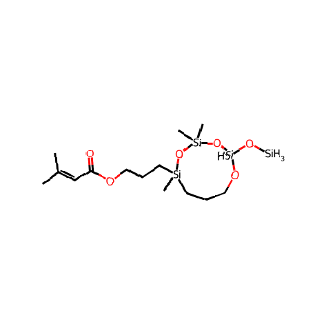 CC(C)=CC(=O)OCCC[Si]1(C)CCCO[SiH](O[SiH3])O[Si](C)(C)O1